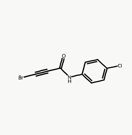 O=C(C#CBr)Nc1ccc(Cl)cc1